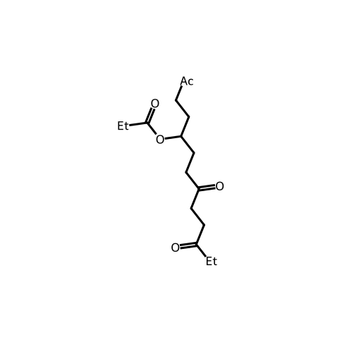 CCC(=O)CCC(=O)CCC(CCC(C)=O)OC(=O)CC